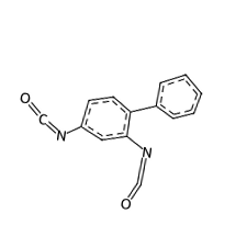 O=C=Nc1ccc(-c2ccccc2)c(N=C=O)c1